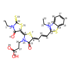 CCN1C(=O)/C(=c2/s/c(=C\C=C\c3sc4ccccc4[n+]3CC)c(=O)n2CCC(=O)O)SC1=S